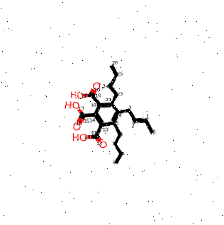 CCCCc1c(CCCC)c(C(=O)O)c(C(=O)O)c(C(=O)O)c1CCCC